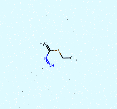 C=C(N=N)SCC